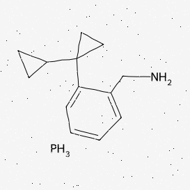 NCc1ccccc1C1(C2CC2)CC1.P